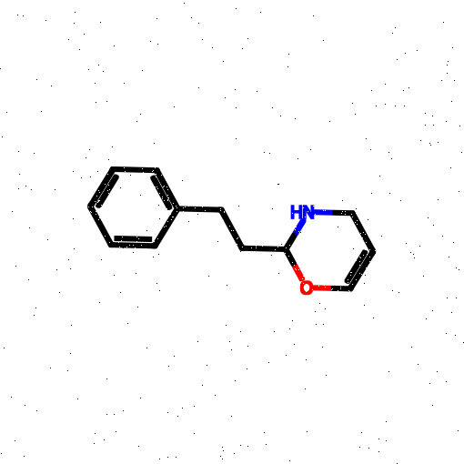 C1=COC(CCc2ccccc2)NC1